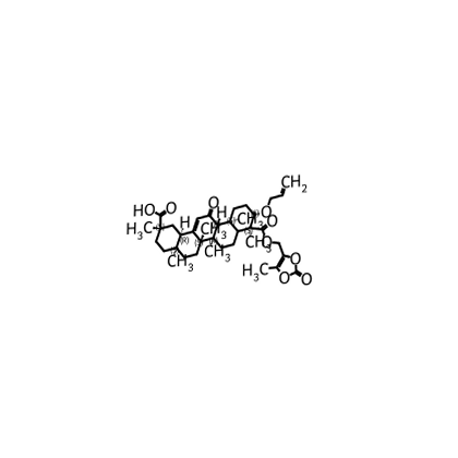 C=CCO[C@H]1CC[C@@]2(C)C(CC[C@]3(C)[C@@H]2C(=O)C=C2[C@@H]4C[C@@](C)(C(=O)O)CC[C@]4(C)CC[C@]23C)[C@]1(C)C(=O)OCc1oc(=O)oc1C